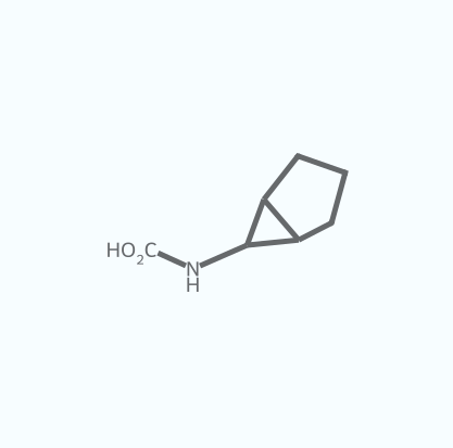 O=C(O)NC1C2CCCC21